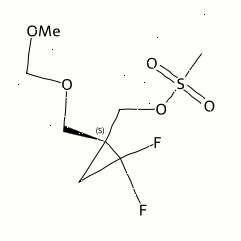 COCOC[C@]1(COS(C)(=O)=O)CC1(F)F